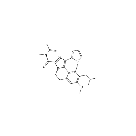 C=C(C)N(C)C(=O)c1nc(-c2cccs2)c2n1CCc1cc(OC)c(CC(C)C)c(F)c1-2